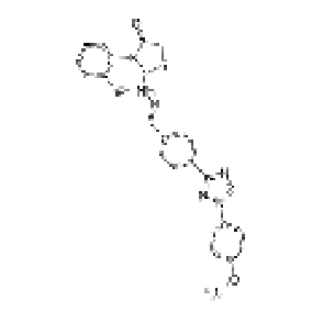 CC(C)c1ccccc1N1C(=O)CSC1N/N=C/c1ccc(-c2ncn(-c3ccc(OC(F)(F)F)cc3)n2)cc1